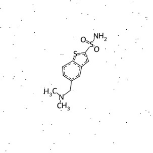 CN(C)Cc1ccc2sc(S(N)(=O)=O)cc2c1